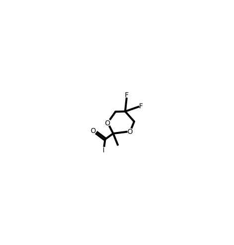 CC1(C(=O)I)OCC(F)(F)CO1